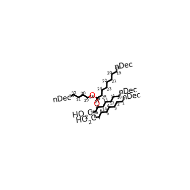 CCCCCCCCCCCCCCCCCC(=O)O.CCCCCCCCCCCCCCCCCC(=O)O.CCCCCCCCCCCCCCCCCC(=O)OCCCCCCCCCCCCCC